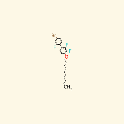 CCCCCCCCCCOc1ccc(-c2ccc(Br)cc2F)c(F)c1F